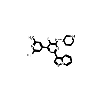 Cc1cc(-c2nc(-c3cnn4ccccc34)nc(N[C@@H]3CCCNC3)c2F)cc(C)n1